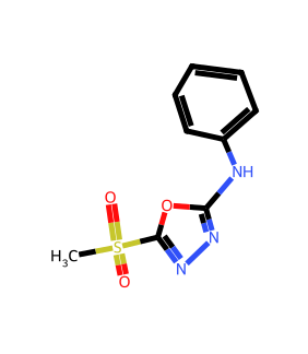 CS(=O)(=O)c1nnc(Nc2ccccc2)o1